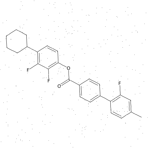 Cc1ccc(-c2ccc(C(=O)Oc3ccc(C4CCCCC4)c(F)c3F)cc2)c(F)c1